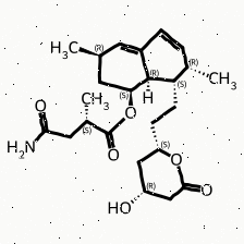 C[C@H]1C=C2C=C[C@H](C)[C@H](CC[C@H]3C[C@@H](O)CC(=O)O3)[C@H]2[C@@H](OC(=O)[C@@H](C)CC(N)=O)C1